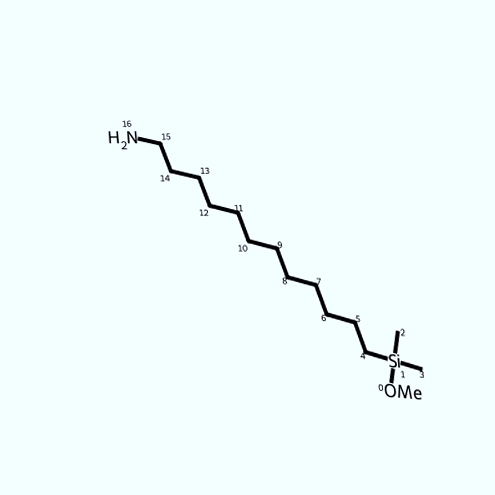 CO[Si](C)(C)CCCCCCCCCCCCN